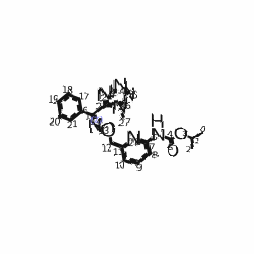 CC(C)OC(=O)Nc1cccc(CO/N=C(/c2ccccc2)c2nnnn2C)n1